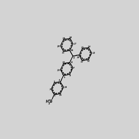 Bc1ccc(-c2ccc(C(c3ccccc3)c3ccccc3)cc2)cc1